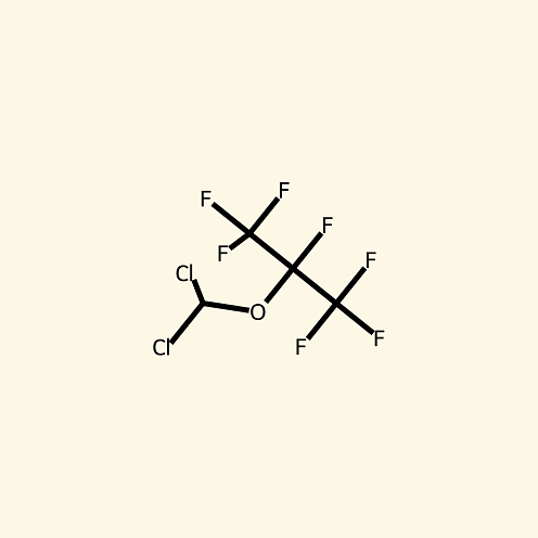 FC(F)(F)C(F)(OC(Cl)Cl)C(F)(F)F